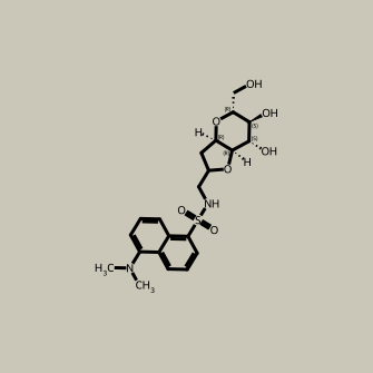 CN(C)c1cccc2c(S(=O)(=O)NCC3C[C@H]4O[C@H](CO)[C@@H](O)[C@H](O)[C@H]4O3)cccc12